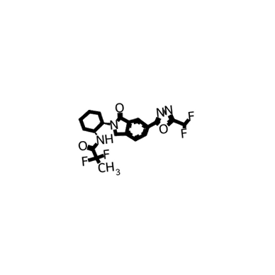 CC(F)(F)C(=O)N[C@@H]1CCCC[C@H]1N1Cc2ccc(-c3nnc(C(F)F)o3)cc2C1=O